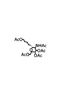 CC(=O)NC1C(OC(C)=O)[C@@H](OC(C)=O)C(COC(C)=O)O[C@@H]1CCCCCOC(C)=O